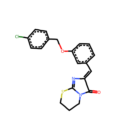 O=C1/C(=C/c2cccc(OCc3ccc(Cl)cc3)c2)N=C2SCCCN12